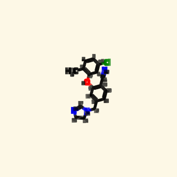 Cc1ccc(Cl)cc1Oc1cc(Cn2ccnc2)ccc1C#N